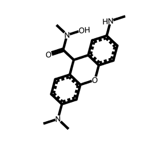 CNc1ccc2c(c1)C(C(=O)N(C)O)c1ccc(N(C)C)cc1O2